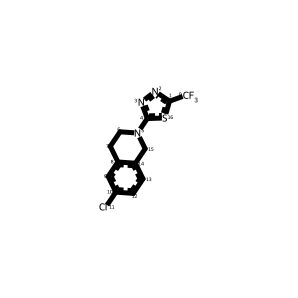 FC(F)(F)c1nnc(N2CCc3cc(Cl)ccc3C2)s1